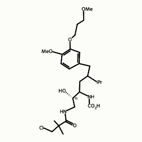 COCCCOc1cc(CC(CC(NC(=O)O)[C@@H](O)CNC(=O)C(C)(C)CCl)C(C)C)ccc1OC